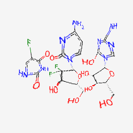 N=c1ncn([C@@H]2O[C@H](CO)[C@@H](O)[C@@H]2O)c(O)n1.Nc1ccn([C@@H]2O[C@H](CO)[C@@H](O)C2(F)F)c(=O)n1.O=c1[nH]cc(F)c(=O)[nH]1